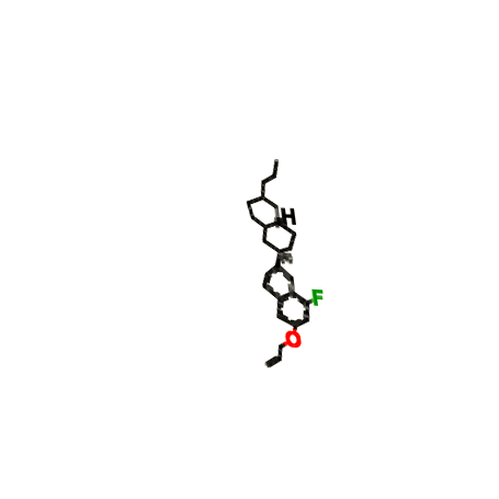 C=CCOc1cc(F)c2cc([C@@H]3CC[C@@H]4CC(CCC)CCC4C3)ccc2c1